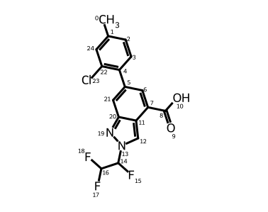 Cc1ccc(-c2cc(C(=O)O)c3cn(C(F)C(F)F)nc3c2)c(Cl)c1